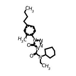 CCCCc1ccc(-n2nnn(C(=O)N(CC)C3CCCCC3)c2=O)c(C)c1